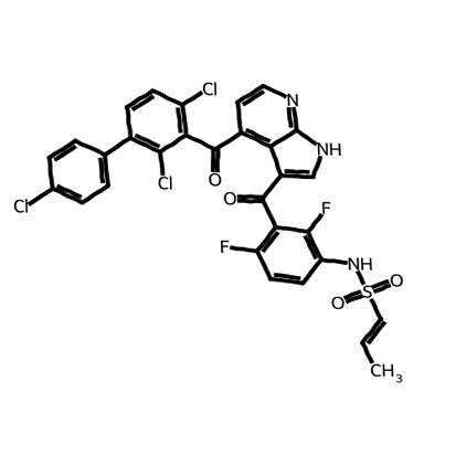 CC=CS(=O)(=O)Nc1ccc(F)c(C(=O)c2c[nH]c3nccc(C(=O)c4c(Cl)ccc(-c5ccc(Cl)cc5)c4Cl)c23)c1F